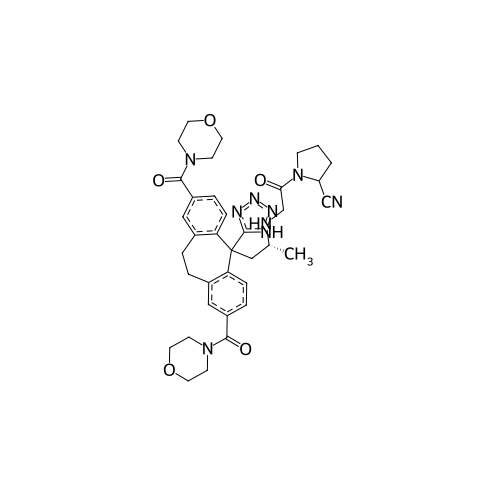 C[C@H](CC1(c2nnn[nH]2)c2ccc(C(=O)N3CCOCC3)cc2CCc2cc(C(=O)N3CCOCC3)ccc21)NCC(=O)N1CCCC1C#N